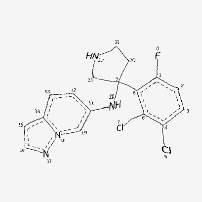 Fc1ccc(Cl)c(Cl)c1C1(Nc2ccc3ccnn3c2)CCNC1